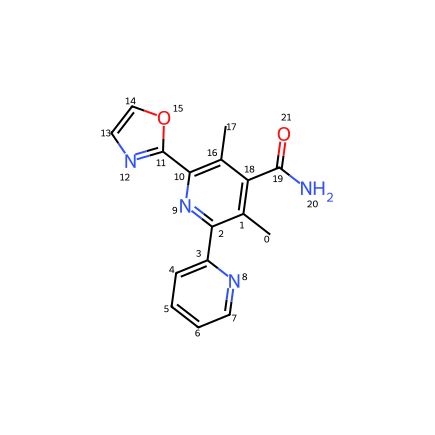 Cc1c(-c2ccccn2)nc(-c2ncco2)c(C)c1C(N)=O